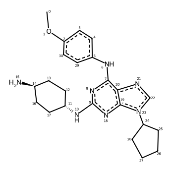 COc1ccc(Nc2nc(N[C@H]3CC[C@H](N)CC3)nc3c2ncn3C2CCCC2)cc1